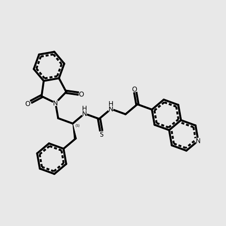 O=C(CNC(=S)N[C@@H](Cc1ccccc1)CN1C(=O)c2ccccc2C1=O)c1ccc2cnccc2c1